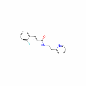 O=C(/C=C/c1ccccc1F)NCCc1ccccn1